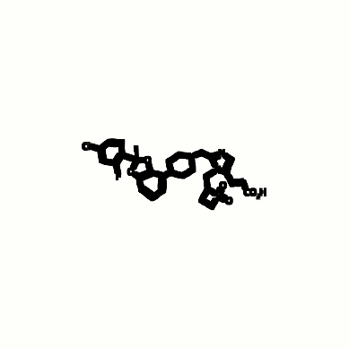 C[C@]1(c2ccc(Cl)cc2F)Oc2cccc(C3CCN(Cc4ncc(/C=C/C(=O)O)n4CC4CCS4(=O)=O)CC3)c2O1